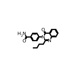 CCCCc1nc2ccccc2c(=O)n1-c1ccc(C(N)=O)cc1